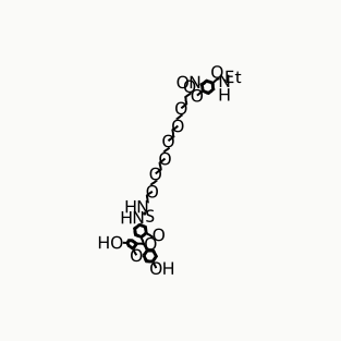 CCNC(=O)c1ccc(OC(=O)CCOCCOCCOCCOCCOCCOCCNC(=S)Nc2ccc3c(c2)C(=O)OC32c3ccc(O)cc3Oc3cc(O)ccc32)c(N=O)c1